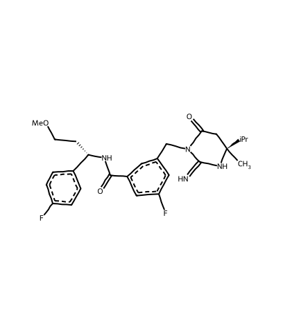 COCC[C@H](NC(=O)c1cc(F)cc(CN2C(=N)N[C@](C)(C(C)C)CC2=O)c1)c1ccc(F)cc1